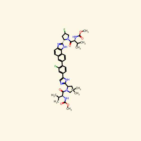 COC(=O)N[C@H](C(=O)N1C[Si](C)(C)CC1c1ncc(-c2ccc(-c3ccc4c(ccc5nc([C@@H]6CC(F)CN6C(=O)[C@@H](NC(=O)OC)C(C)C)[nH]c54)c3)c(F)c2)[nH]1)C(C)C